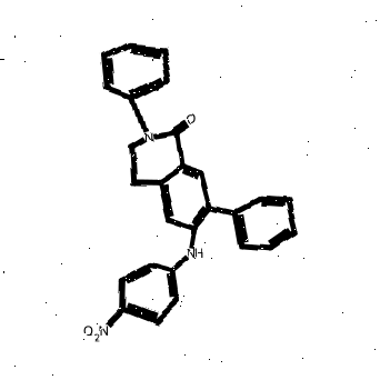 O=C1c2cc(-c3ccccc3)c(Nc3ccc([N+](=O)[O-])cc3)cc2CCN1c1ccccc1